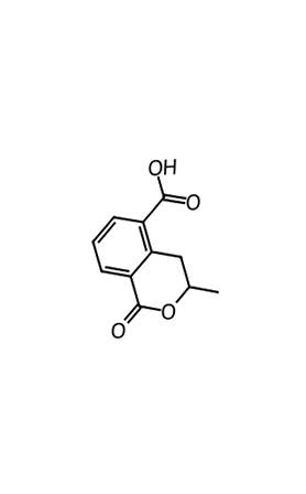 CC1Cc2c(C(=O)O)cccc2C(=O)O1